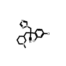 CN1CCCC(CC(C#N)(Cn2cncn2)c2ccc(Cl)cc2Cl)C1